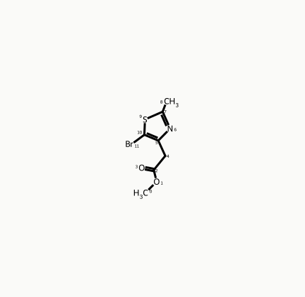 COC(=O)Cc1nc(C)sc1Br